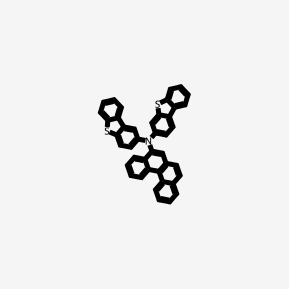 c1ccc2c(c1)ccc1cc(N(c3ccc4c(c3)sc3ccccc34)c3ccc4sc5ccccc5c4c3)c3ccccc3c12